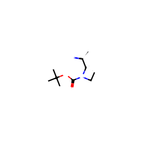 C[C@H](N)[C@@H]1CCN1C(=O)OC(C)(C)C